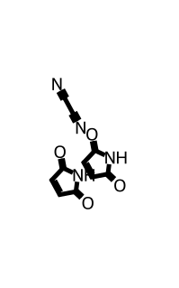 N#CC#N.O=C1C=CC(=O)N1.O=C1C=CC(=O)N1